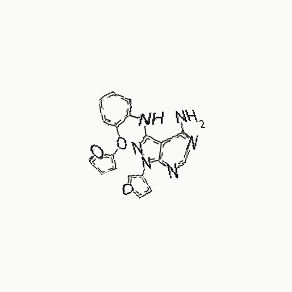 Nc1ncnc2c1c(Nc1ccccc1Oc1ccco1)nn2-c1ccoc1